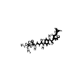 CC(C)(C)OC(=O)NCCC(=O)Nc1ccc(NC(=O)c2cc(C3CC3)on2)cc1